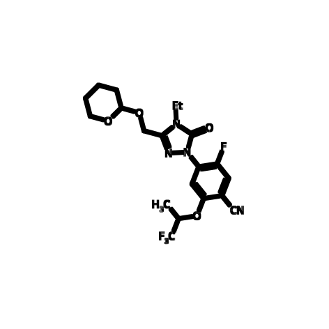 CCn1c(COC2CCCCO2)nn(-c2cc(OC(C)C(F)(F)F)c(C#N)cc2F)c1=O